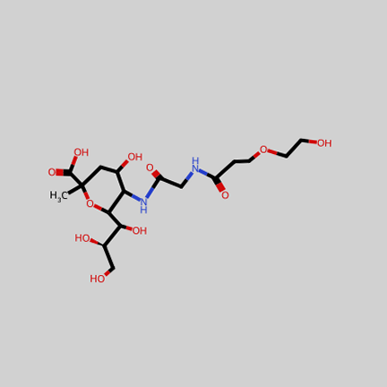 CC1(C(=O)O)CC(O)C(NC(=O)CNC(=O)CCOCCO)C(C(O)[C@H](O)CO)O1